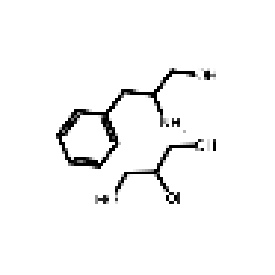 NC(CO)Cc1ccccc1.OCC(O)CO